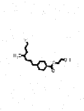 CC(C)CCCC(C)CCCC1CCC(C(=O)OCCO)CC1